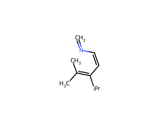 C=N/C=C\C(=C(C)C)C(C)C